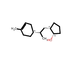 CC1=CC[C@H](C(C)C[C@@H]2CCC[C@@H]2O)CC1